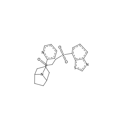 O=C(CCS(=O)(=O)c1cccc2ncsc12)N1C2CCC1CC(c1ccccn1)C2